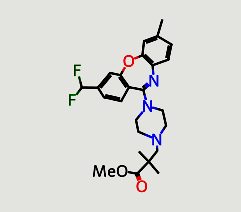 COC(=O)C(C)(C)CN1CCN(C2=Nc3ccc(C)cc3Oc3cc(C(F)F)ccc32)CC1